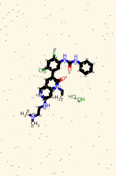 CCn1c(=O)c(-c2cc(NC(=O)Nc3ccccc3)c(F)cc2Cl)cc2cnc(NCCN(C)C)cc21.Cl.Cl